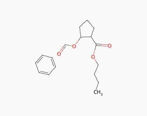 CCCCOC(=O)C1CCCC1OC=O.c1ccccc1